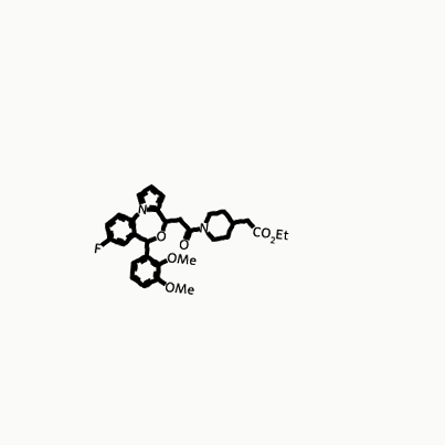 CCOC(=O)CC1CCN(C(=O)CC2OC(c3cccc(OC)c3OC)c3cc(F)ccc3-n3cccc32)CC1